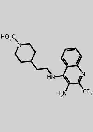 Nc1c(C(F)(F)F)nc2ccccc2c1NCCC1CCN(C(=O)O)CC1